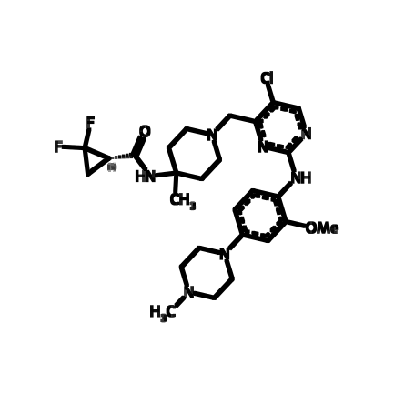 COc1cc(N2CCN(C)CC2)ccc1Nc1ncc(Cl)c(CN2CCC(C)(NC(=O)[C@@H]3CC3(F)F)CC2)n1